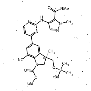 CNC(=O)c1c(Nc2nccc(-c3cc(C#N)c4c(c3)[C@@](C)(CO[Si](C)(C)C(C)(C)C)CN4C(=O)OC(C)(C)C)n2)cnn1C